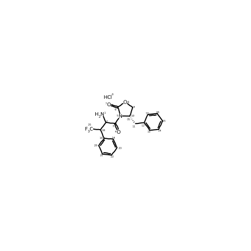 Cl.NC(C(=O)N1C(=O)OC[C@@H]1Cc1ccccc1)C(c1ccccc1)C(F)(F)F